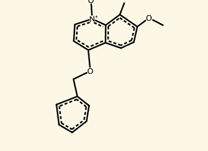 COc1ccc2c(OCc3ccccc3)cc[n+]([O-])c2c1C